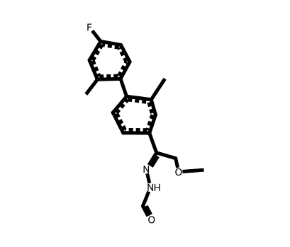 COC/C(=N\NC=O)c1ccc(-c2ccc(F)cc2C)c(C)c1